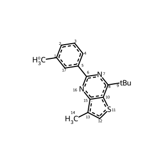 Cc1cccc(-c2nc(C(C)(C)C)c3scc(C)c3n2)c1